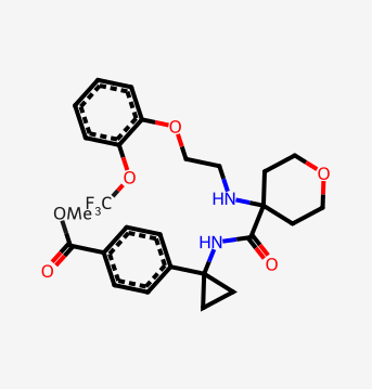 COC(=O)c1ccc(C2(NC(=O)C3(NCCOc4ccccc4OC(F)(F)F)CCOCC3)CC2)cc1